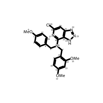 COc1ccc(CN(Cc2ccc(OC)cc2OC)c2nc(Cl)cc3nn[nH]c23)cc1